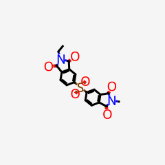 CCN1C(=O)c2ccc(S(=O)(=O)c3ccc4c(c3)C(=O)N(C)C4=O)cc2C1=O